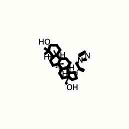 C=C(Cn1ccnc1)[C@@H]1CC[C@]2(CO)CC[C@]3(C)[C@H](CC[C@@H]4[C@@]5(C)CCC(O)C(C)(C)[C@@H]5CC[C@]43C)[C@@H]12